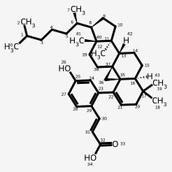 CC(C)CCC[C@@H](C)[C@H]1CC[C@@]2(C)[C@@H]3CC[C@H]4C(C)(C)CC=C(c5cc(O)ccc5/C=C/C(=O)O)[C@@]45C[C@@]35CC[C@]12C